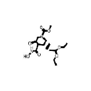 C=C.CCOC(C)OCC.COC(=O)N1CCC(C(=O)NO)C(=O)C1